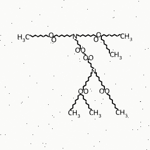 CCCCCCCCCOC(=O)CCCCCCCN(CCCCCCCC(=O)OC(CCCCCCCC)CCCCCCCC)CCCCC(=O)OCCOC(=O)CCCCN(CCCCCCCC(=O)OCCCCCCCCC)CCCCCCCC(=O)OC(CCCCCCCC)CCCCCCCC